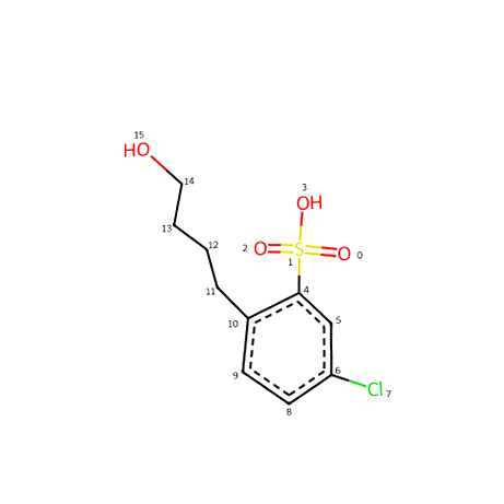 O=S(=O)(O)c1cc(Cl)ccc1CCCCO